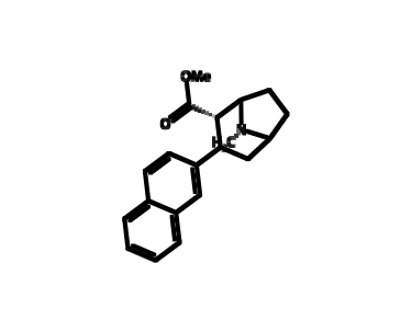 COC(=O)[C@H]1C(c2ccc3ccccc3c2)CC2CCC1N2C